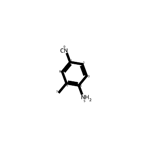 [C-]#[N+]c1ccc(N)c(C)c1